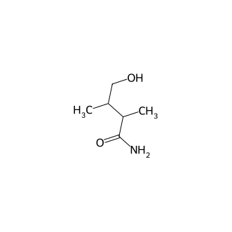 CC(CO)C(C)C(N)=O